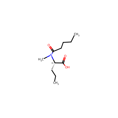 CCCCC(=O)N(C)[C@@H](CCC)C(=O)O